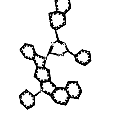 c1ccc(C2N=C(c3ccc4ccccc4c3)N=C(n3c4ccccc4c4cc5c(cc43)c3c4ccccc4ccc3n5-c3ccccc3)N2)cc1